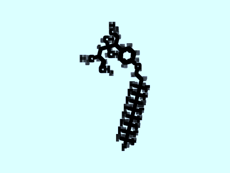 C=CC(C)CC(C)(C)C(CC)c1ccc(OCCC(F)(F)C(F)(F)C(F)(F)C(F)(F)C(F)(F)C(F)(F)C(F)(F)C(F)(F)F)cc1